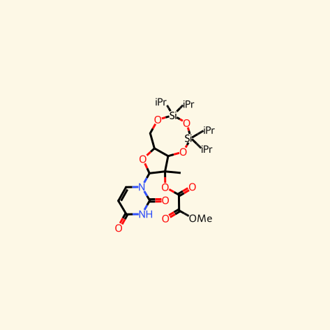 COC(=O)C(=O)OC1(C)C2O[Si](C(C)C)(C(C)C)O[Si](C(C)C)(C(C)C)OCC2OC1n1ccc(=O)[nH]c1=O